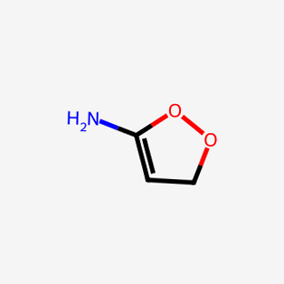 NC1=CCOO1